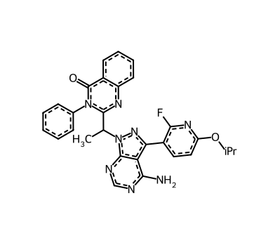 CC(C)Oc1ccc(-c2nn(C(C)c3nc4ccccc4c(=O)n3-c3ccccc3)c3ncnc(N)c23)c(F)n1